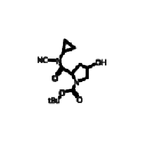 CC(C)(C)OC(=O)N1CC(O)CC1C(=O)N(C#N)C1CC1